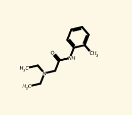 CCN(CC)CC(=O)Nc1ccccc1C